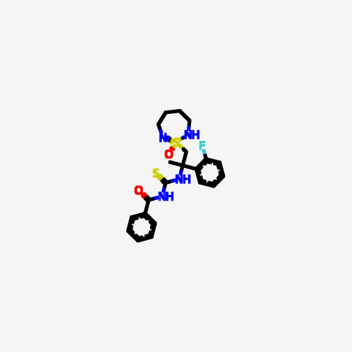 CC(CS1(=O)=NCCCCN1)(NC(=S)NC(=O)c1ccccc1)c1ccccc1F